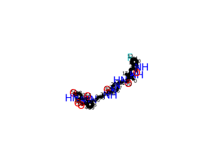 Cc1[nH]c(/C=C2\C(=O)Nc3ccc(F)cc32)c(C)c1C(=O)NCCN1CCN(CC(=O)NCCCCNc2cccc3c2C(=O)N(C2CCC(=O)NC2=O)C3=O)CC1